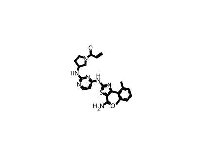 C=CC(=O)N1CCC(Nc2nccc(Nc3nc(-c4c(C)cccc4C)c(C(N)=O)s3)n2)C1